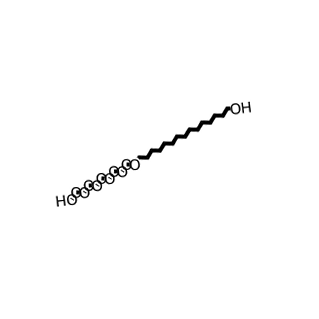 OCCCCCCCCCCCCCCCOOOOOOOOOOO